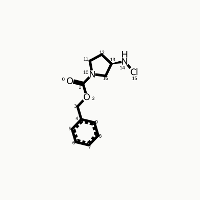 O=C(OCc1ccccc1)N1CC[C@@H](NCl)C1